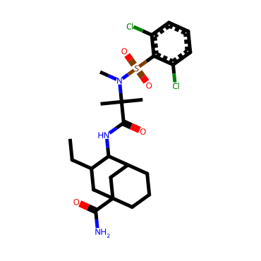 CCC1CC2(C(N)=O)CCCC(C2)C1NC(=O)C(C)(C)N(C)S(=O)(=O)c1c(Cl)cccc1Cl